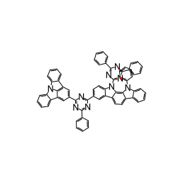 c1ccc(-c2nc(-c3ccc4c(c3)c3ccc5c6ccccc6n(-c6ccccc6)c5c3n4-c3nc(-c4ccccc4)nc(-c4ccccc4)n3)nc(-c3cc4c5ccccc5n5c6ccccc6c(c3)c45)n2)cc1